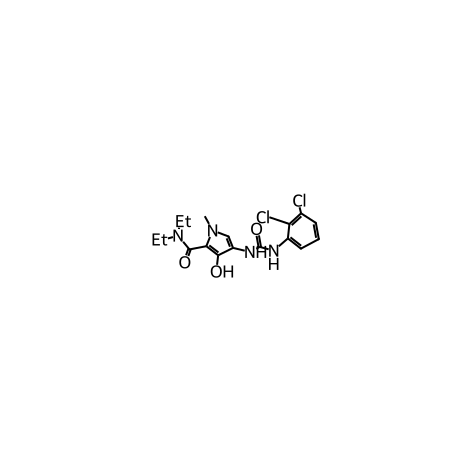 CCN(CC)C(=O)c1c(O)c(NC(=O)Nc2cccc(Cl)c2Cl)cn1C